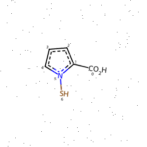 O=C(O)c1cccn1S